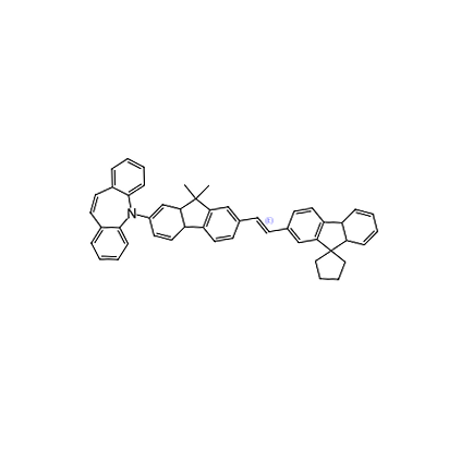 CC1(C)c2cc(/C=C/c3ccc4c(c3)C3(CCCC3)C3C=CC=CC43)ccc2C2C=CC(N3c4ccccc4C=Cc4ccccc43)=CC21